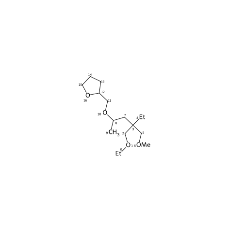 CCOCC(CC)(COC)CC(C)OCC1CCCO1